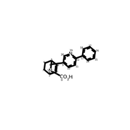 O=C(O)N1C2C=CC(CC2)C1c1ccc(-c2ccccc2)nc1